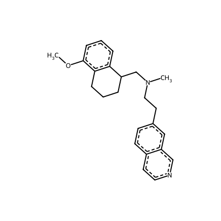 COc1cccc2c1CCCC2CN(C)CCc1ccc2ccncc2c1